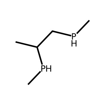 CPCC(C)PC